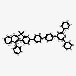 CC1(C)c2cc(-c3ccc(-c4ccc(-c5cc(-c6ccccc6)nc(-c6ccccc6)c5)cc4)cc3)ccc2-c2c1cc1ccccc1c2-c1ccccc1